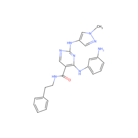 Cn1cc(Nc2ncc(C(=O)NCCc3ccccc3)c(Nc3cccc(N)c3)n2)cn1